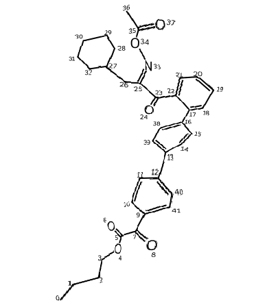 CCCCOC(=O)C(=O)c1ccc(-c2ccc(-c3ccccc3C(=O)C(CC3CCCCC3)=NOC(C)=O)cc2)cc1